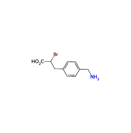 NCc1ccc(CC(Br)C(=O)O)cc1